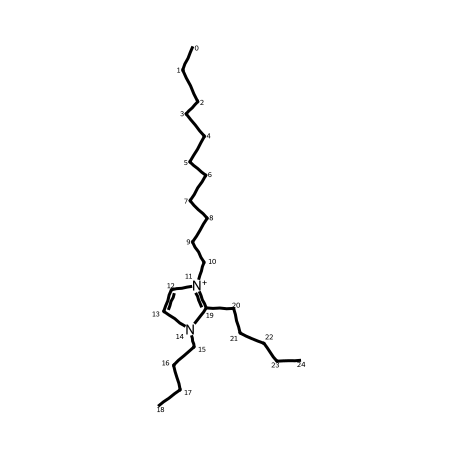 CCCCCCCCCCC[n+]1ccn(CCCC)c1CCCCC